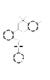 CC1(C)CC(c2ccccc2NS(=O)(=O)c2cccnc2)Nc2ccc(C(F)(F)F)cc21